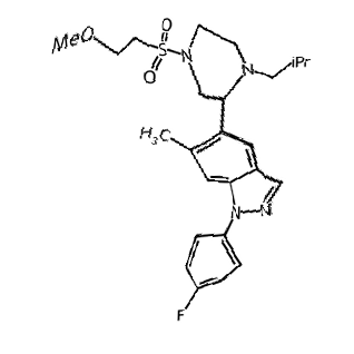 COCCS(=O)(=O)N1CCN(CC(C)C)C(c2cc3cnn(-c4ccc(F)cc4)c3cc2C)C1